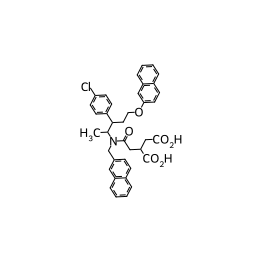 CC(C(CCOc1ccc2ccccc2c1)c1ccc(Cl)cc1)N(Cc1ccc2ccccc2c1)C(=O)CC(CC(=O)O)C(=O)O